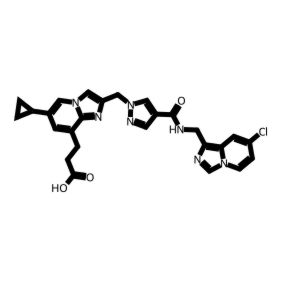 O=C(O)CCc1cc(C2CC2)cn2cc(Cn3cc(C(=O)NCc4ncn5ccc(Cl)cc45)cn3)nc12